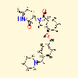 C=C1CCC(N2Cc3c(OCc4ccc(CN5CCCCC5)cc4)cccc3C2=O)C(=O)N1